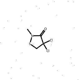 CN1SCC(Cl)(Cl)C1=O